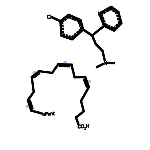 CCCCC/C=C\C/C=C\C/C=C\C/C=C\CCCC(=O)O.CN(C)CCC(c1ccc(Cl)cc1)c1ccccn1